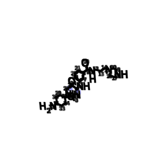 CC(=O)/N=C1/Nc2cc(C(=O)NCCCN3CCNCC3)ccc2O/C1=C/N[C@H]1CC[C@H](N)CC1